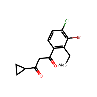 CSCc1c(C(=O)CC(=O)C2CC2)ccc(Cl)c1Br